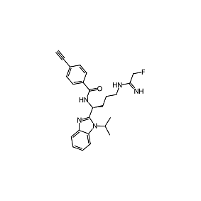 C#Cc1ccc(C(=O)N[C@@H](CCCNC(=N)CF)c2nc3ccccc3n2C(C)C)cc1